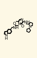 Cc1cnc(NC[C@H]2CCCN2C2CCCC2)c(=O)n1CC(=O)NCc1ccc2[nH]ccc2c1